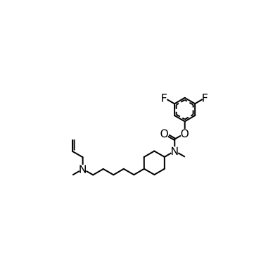 C=CCN(C)CCCCCC1CCC(N(C)C(=O)Oc2cc(F)cc(F)c2)CC1